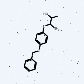 CC(O)C(N)Oc1ccc(OCc2ccccc2)cc1